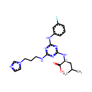 CC(C)C[C@H](Nc1nc(NCCCn2ccnc2)nc(Nc2cccc(F)c2)n1)C(=O)O